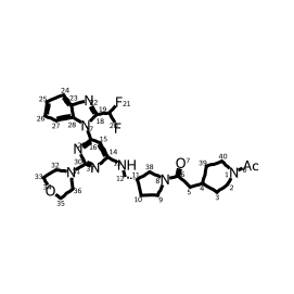 CC(=O)N1CCC(CC(=O)N2CC[C@H](CNc3cc(-n4c(C(F)F)nc5ccccc54)nc(N4CCOCC4)n3)C2)CC1